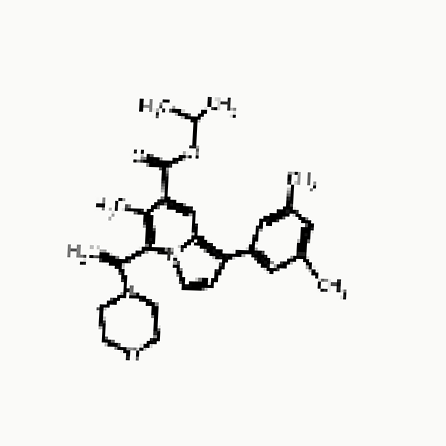 C=C(c1c(C)c(C(=O)OC(C)C)cc2c(-c3cc(C)cc(C)c3)ccn12)N1CCOCC1